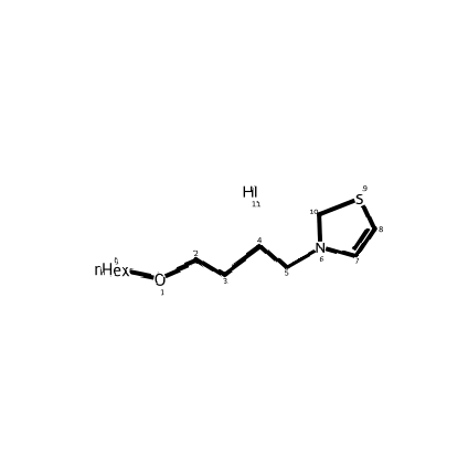 CCCCCCOCCCCN1C=CSC1.I